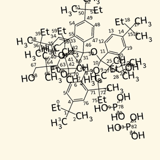 CCC(C)(C)c1ccc(C2OC(c3ccc(C(C)(C)CC)cc3C(C)(C)CC)(C(C)(C)CO)OC(c3ccc(C(C)(C)CC)cc3C(C)(C)CC)(c3ccc(C(C)(C)CC)cc3C(C)(C)CC)C23COC(C(C)(C)CO)OC3)c(C(C)(C)CC)c1.OP(O)O.OP(O)O